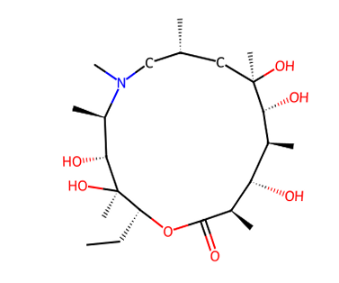 CC[C@H]1OC(=O)[C@H](C)[C@@H](O)[C@H](C)[C@@H](O)[C@](C)(O)C[C@@H](C)CN(C)[C@H](C)[C@@H](O)[C@]1(C)O